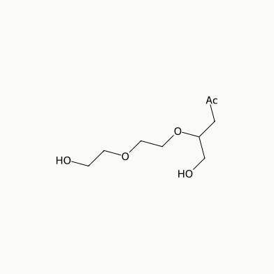 CC(=O)CC(CO)OCCOCCO